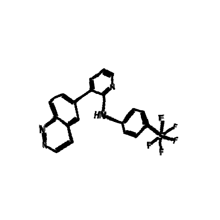 FS(F)(F)(F)(F)c1ccc(Nc2ncccc2-c2ccc3nnccc3c2)cc1